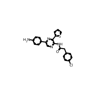 Nc1ccc(-c2cnc(NC(=O)Cc3ccc(Cl)cc3)c(-c3cccs3)n2)cc1